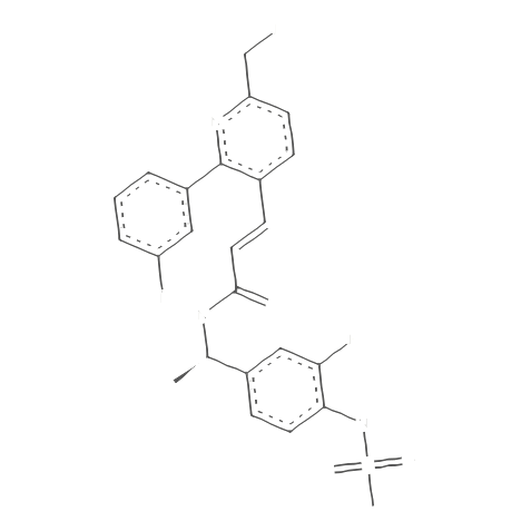 C[C@@H](NC(=O)/C=C/c1ccc(CF)nc1-c1cccc(F)c1)c1ccc(NS(C)(=O)=O)c(F)c1